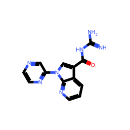 N=C(N)NC(=O)c1cn(-c2cnccn2)c2ncccc12